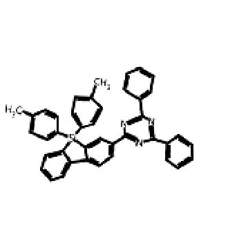 Cc1ccc([Si]2(c3ccc(C)cc3)c3ccccc3-c3ccc(-c4nc(-c5ccccc5)nc(-c5ccccc5)n4)cc32)cc1